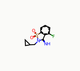 N=C1c2c(F)cccc2S(=O)(=O)N1CC1CC1